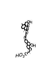 C[C@H]1C(OCCO[C@@H]2CC[C@@]3(C)C(C2)C[C@H](O)C2C3CC[C@@]3(C)C2CC[C@@H]3[C@H](C)CCC(=O)O)OC2O[C@](C)(O)CCC3C2C1CC[C@H]3C